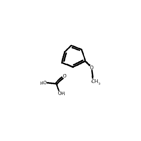 COc1ccccc1.O=C(O)O